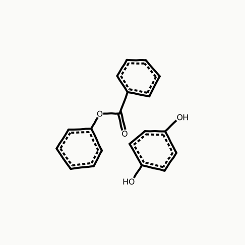 O=C(Oc1ccccc1)c1ccccc1.Oc1ccc(O)cc1